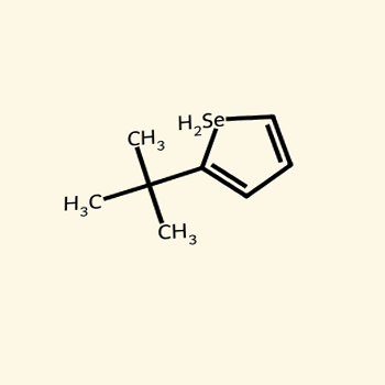 CC(C)(C)C1=CC=C[SeH2]1